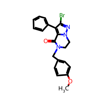 COc1ccc(CN2CCn3nc(Br)c(-c4ccccc4)c3C2=O)cc1